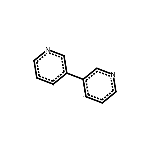 [c]1ccncc1-c1[c]ccnc1